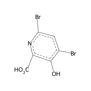 O=C(O)c1nc(Br)cc(Br)c1O